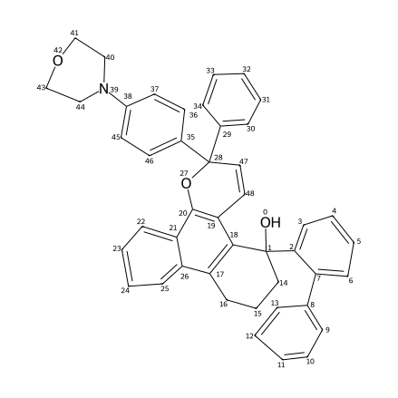 OC1(c2ccccc2-c2ccccc2)CCCc2c1c1c(c3ccccc23)OC(c2ccccc2)(c2ccc(N3CCOCC3)cc2)C=C1